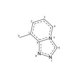 Cc1cccn2cnnc12